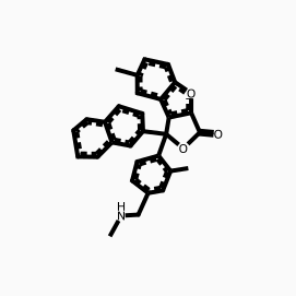 CNCc1ccc(C2(c3ccc4ccccc4c3)OC(=O)c3oc4ccc(C)cc4c32)c(C)c1